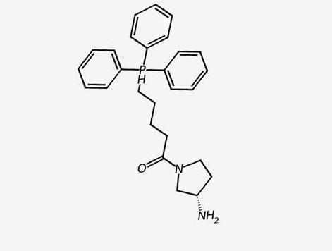 N[C@H]1CCN(C(=O)CCCC[PH](c2ccccc2)(c2ccccc2)c2ccccc2)C1